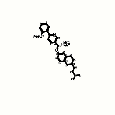 COc1ccccc1-c1ccc(COc2ccc3c(c2)CCC(CCN(C)C)C3)cn1.Cl.Cl